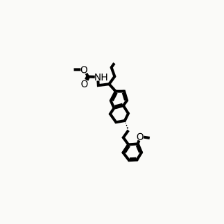 CCCC(CNC(=O)OC)c1ccc2c(c1)CC[C@@H](CCc1ccccc1OC)C2